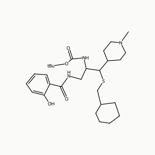 CN1CCC(C(SCC2CCCCC2)C(CNC(=O)c2ccccc2O)NC(=O)OC(C)(C)C)CC1